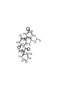 CCCCCc1c(C(=O)Nc2ccccc2C)c(=O)cc(C)n1-c1cccc(Cl)c1